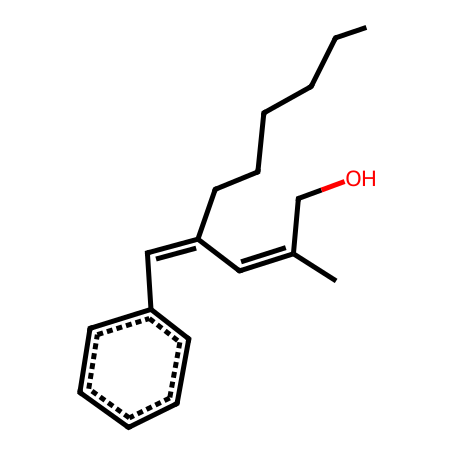 CCCCCCC(C=C(C)CO)=Cc1ccccc1